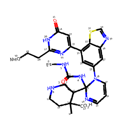 CCNC(=O)NC1(C2CNCCC2(C)C(=O)O)N=CC=CN1c1cc(-c2cc(=O)[nH]c(CCOC)n2)c2scnc2c1